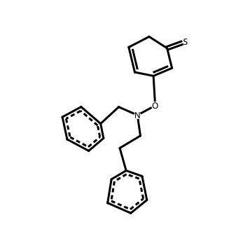 S=C1C=C(ON(CCc2ccccc2)Cc2ccccc2)C=CC1